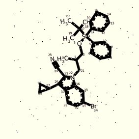 CC(CO[Si](c1ccccc1)(c1ccccc1)C(C)(C)C)Cn1c(C#N)c(C2CC2)c2ccc(Br)cc21